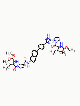 COC(=O)N[C@H](C(=O)N1CC[C@H](C(=O)Nc2ccc3cc(-c4ccc(-c5c[nH]c([C@@H]6CCCN6C(=O)[C@@H](NC(=O)OC)C(C)C)n5)cc4)ccc3c2)C1)C(C)C